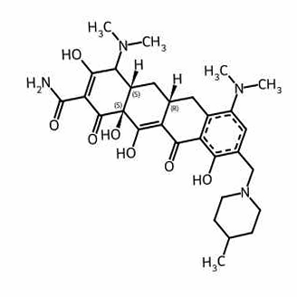 CC1CCN(Cc2cc(N(C)C)c3c(c2O)C(=O)C2=C(O)[C@]4(O)C(=O)C(C(N)=O)=C(O)C(N(C)C)[C@@H]4C[C@@H]2C3)CC1